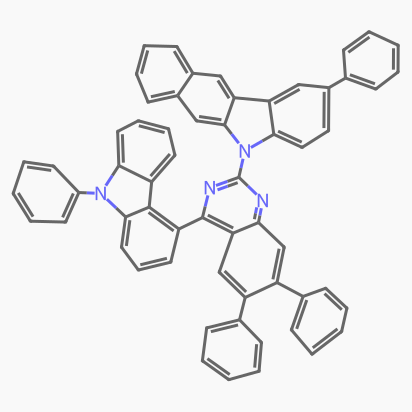 c1ccc(-c2ccc3c(c2)c2cc4ccccc4cc2n3-c2nc(-c3cccc4c3c3ccccc3n4-c3ccccc3)c3cc(-c4ccccc4)c(-c4ccccc4)cc3n2)cc1